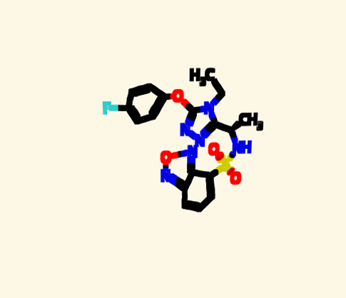 CCn1c(Oc2ccc(F)cc2)nnc1[C@@H](C)NS(=O)(=O)c1cccc2nonc12